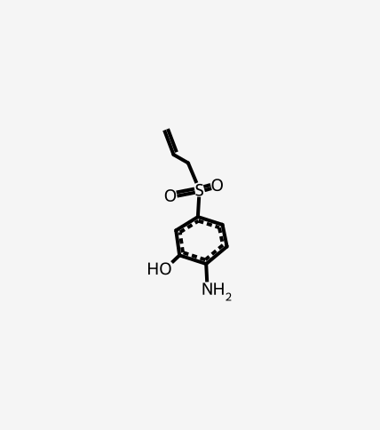 C=CCS(=O)(=O)c1ccc(N)c(O)c1